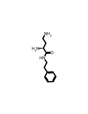 NCC[C@H](N)C(=O)NCCc1ccccc1